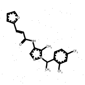 Cc1c(NC(=O)/C=C/c2ccco2)cnn1C(C)c1ccc(C(F)(F)F)cc1C(F)(F)F